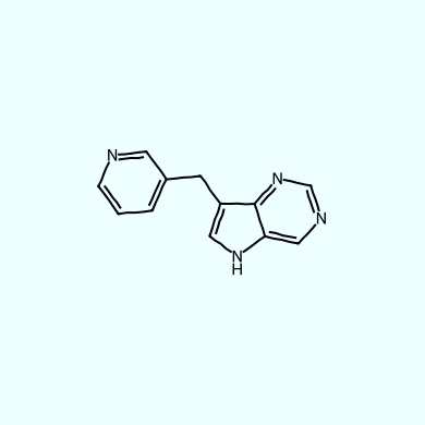 c1cncc(Cc2c[nH]c3cncnc23)c1